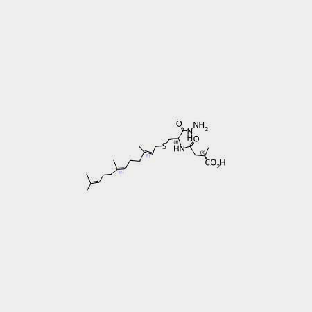 CC(C)=CCC/C(C)=C/CC/C(C)=C/CSC[C@H](NC(=O)C[C@@H](C)C(=O)O)C(=O)NN